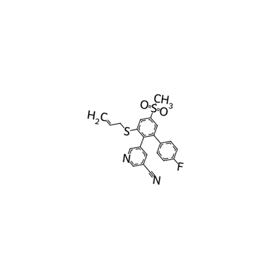 C=CCSc1cc(S(C)(=O)=O)cc(-c2ccc(F)cc2)c1-c1cncc(C#N)c1